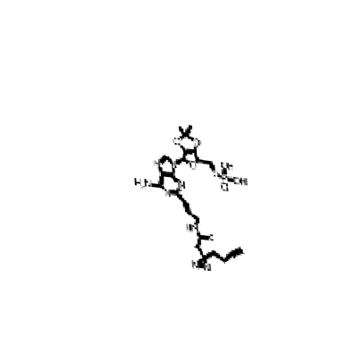 C#CCCC1(CC(=O)NCC#Cc2nc(N)c3ncn(C4OC(COP(=O)(O)O)C5OC(C)(C)OC54)c3n2)N=N1